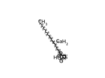 CCCCCCCCCCCCCCCCCCCCCCOC(=O)c1ccccc1C(=O)O.[CaH2]